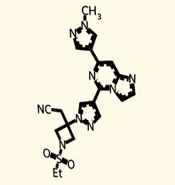 CCS(=O)(=O)N1CC(CC#N)(n2cc(-c3nc(-c4cnn(C)c4)cc4nccn34)cn2)C1